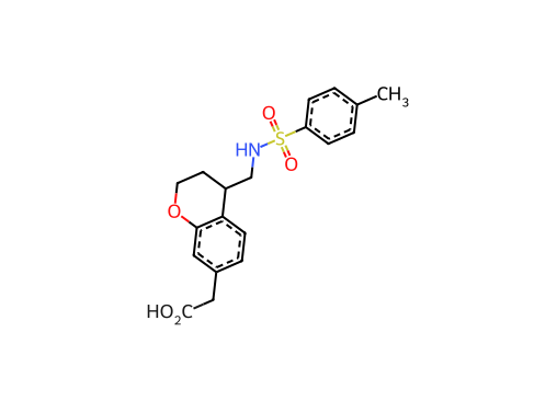 Cc1ccc(S(=O)(=O)NCC2CCOc3cc(CC(=O)O)ccc32)cc1